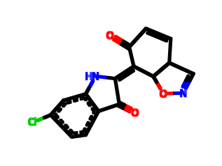 O=C1C=CC2C=NOC2C1=C1Nc2cc(Cl)ccc2C1=O